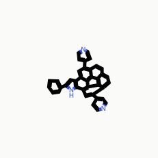 c1ccc(-c2cc3c4cc(-c5ccncc5)c5ccc6ccc7c(-c8ccncc8)cc(c3[nH]2)c2c7c6c5c42)cc1